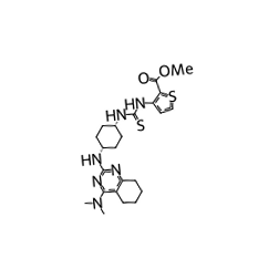 COC(=O)c1sccc1NC(=S)N[C@H]1CC[C@@H](Nc2nc3c(c(N(C)C)n2)CCCC3)CC1